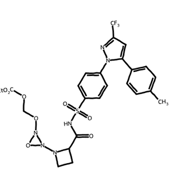 CCOC(=O)OCOn1on1N1CCC1C(=O)NS(=O)(=O)c1ccc(-n2nc(C(F)(F)F)cc2-c2ccc(C)cc2)cc1